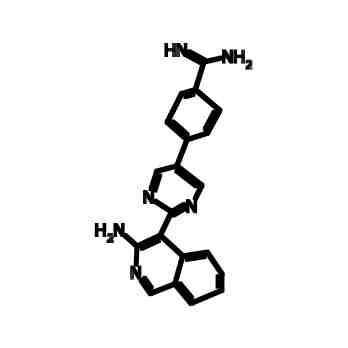 N=C(N)c1ccc(-c2cnc(-c3c(N)ncc4ccccc34)nc2)cc1